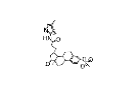 Cc1cnc(NC(=O)CCC2CC(=O)C3(C)CCC4c5ccc(OS(C)(=O)=O)cc5CCC4C23)s1